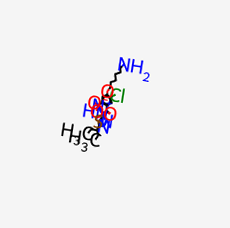 CCC(CC)c1nnc(NC(=O)c2cc(Cl)c(OCCCCCCN)cc2[N+](=O)[O-])s1